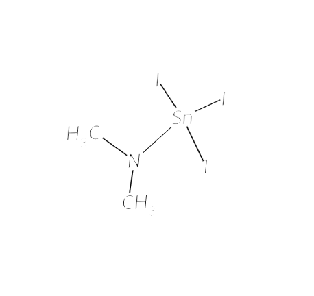 C[N](C)[Sn]([I])([I])[I]